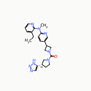 CCc1cccnc1N(C)c1ccc(C2CN(C(=O)N3CC[C@H](c4cnn[nH]4)C3)C2)cn1